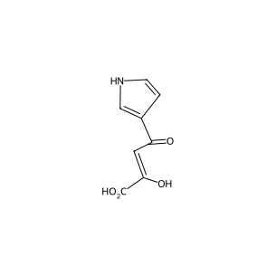 O=C(O)/C(O)=C/C(=O)c1cc[nH]c1